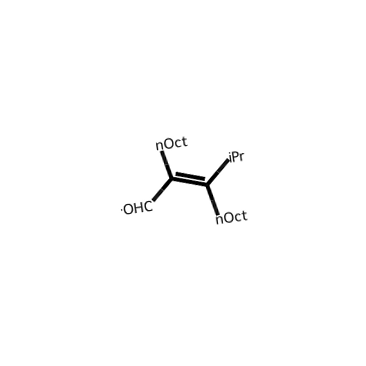 CCCCCCCCC([C]=O)=C(CCCCCCCC)C(C)C